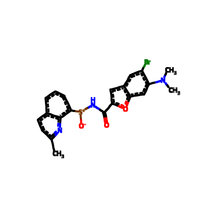 Cc1ccc2cccc([S+]([O-])NC(=O)c3cc4cc(Br)c(N(C)C)cc4o3)c2n1